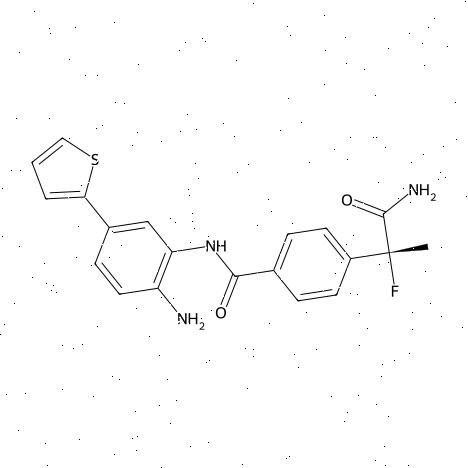 C[C@](F)(C(N)=O)c1ccc(C(=O)Nc2cc(-c3cccs3)ccc2N)cc1